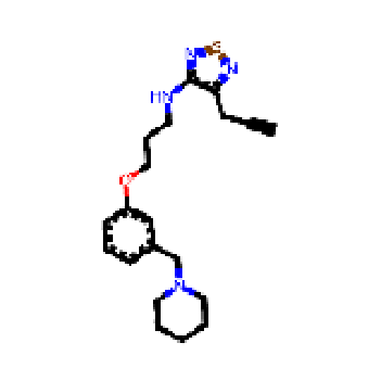 C#CCc1nsnc1NCCCOc1cccc(CN2CCCCC2)c1